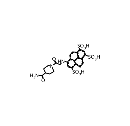 NC(=O)C1CCN(C(=O)CNc2cc(S(=O)(=O)O)c3ccc4c(S(=O)(=O)O)cc(S(=O)(=O)O)c5ccc2c3c54)CC1